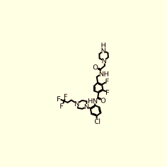 O=C(CN1CCNCC1)NCc1ccc(C(=O)Nc2ccc(Cl)cc2N2CCN(CCC(F)(F)F)CC2)c(F)c1F